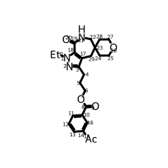 CCn1nc(CCCOC(=O)c2cccc(C(C)=O)c2)c2c1C(=O)NCC1(CCOCC1)C2